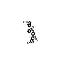 Cc1ncc(Cl)cc1C(=O)NC1CCC(Cn2c(=O)n(-c3cnc4c(ccn4C)c3)c3ccccc32)CC1